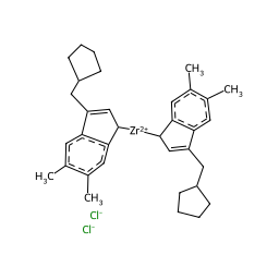 Cc1cc2c(cc1C)[CH]([Zr+2][CH]1C=C(CC3CCCC3)c3cc(C)c(C)cc31)C=C2CC1CCCC1.[Cl-].[Cl-]